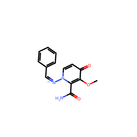 COc1c(C(N)=O)n(/N=C\c2ccccc2)ccc1=O